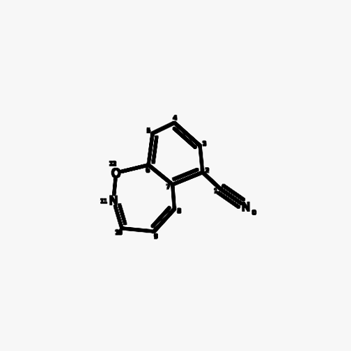 N#Cc1cccc2c1C=CC=NO2